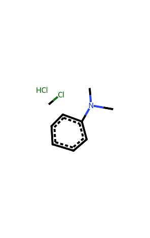 CCl.CN(C)c1ccccc1.Cl